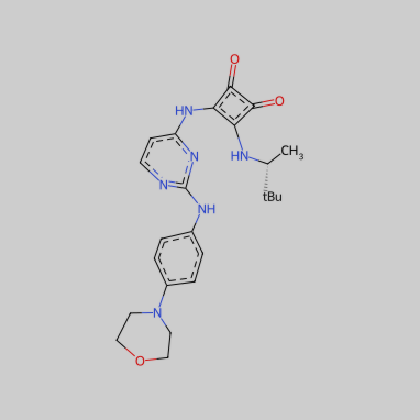 C[C@@H](Nc1c(Nc2ccnc(Nc3ccc(N4CCOCC4)cc3)n2)c(=O)c1=O)C(C)(C)C